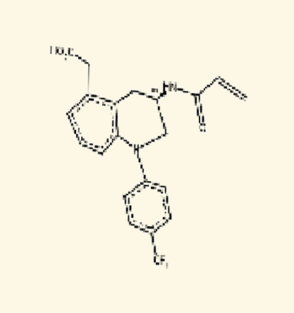 C=CC(=O)N[C@@H]1Cc2c(CC(=O)O)cccc2N(c2ccc(C(F)(F)F)cc2)C1